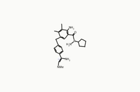 CN/C=C(\N)c1ccc(Cc2cc(C(=O)N(N)C3CCCC3)c(N)c(C)c2C)cc1